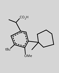 COc1c(C(C)(C)C)cc(C(C)C(=O)O)cc1C1(C)CCCCC1